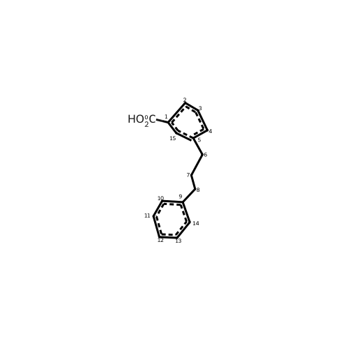 O=C(O)c1cccc(CCCc2ccccc2)c1